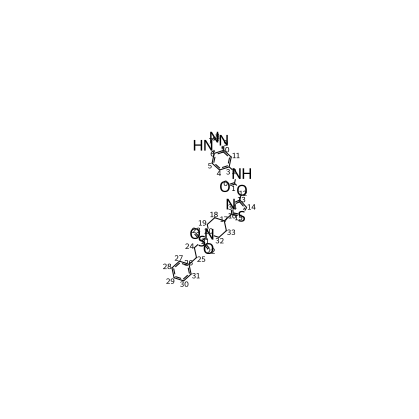 O=C(Nc1ccc2[nH]nnc2c1)Oc1csc(C2CCN(S(=O)(=O)CCc3ccccc3)CC2)n1